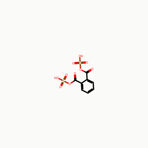 O=C(OS(=O)(=O)O)c1ccccc1C(=O)OS(=O)(=O)O